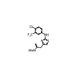 C=C(Cc1csc(Nc2ccc(Cl)c(C(F)(F)F)c2)n1)NC